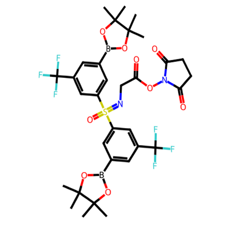 CC1(C)OB(c2cc(C(F)(F)F)cc(S(=O)(=NCC(=O)ON3C(=O)CCC3=O)c3cc(B4OC(C)(C)C(C)(C)O4)cc(C(F)(F)F)c3)c2)OC1(C)C